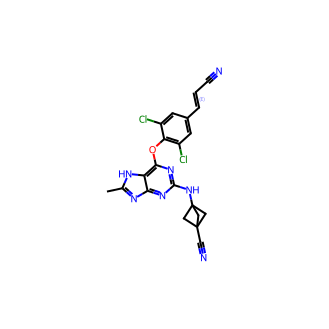 Cc1nc2nc(NC34CC(C#N)(C3)C4)nc(Oc3c(Cl)cc(/C=C/C#N)cc3Cl)c2[nH]1